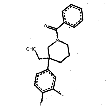 O=CCC1(c2ccc(F)c(F)c2)CCCN(C(=O)c2ccccc2)C1